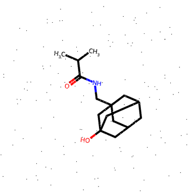 CC(C)C(=O)NCC12CC3CC(CC(O)(C3)C1)C2